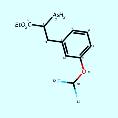 CCOC(=O)C([AsH2])Cc1cccc(OC(F)F)c1